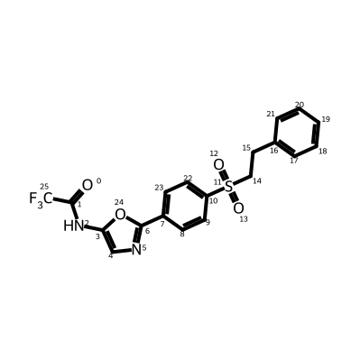 O=C(Nc1cnc(-c2ccc(S(=O)(=O)CCc3ccccc3)cc2)o1)C(F)(F)F